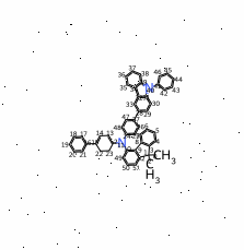 CC1(C)c2ccccc2-c2c(N(C3=CC=C(c4ccccc4)CC3)c3ccc(-c4ccc5c(c4)c4ccccc4n5-c4ccccc4)cc3)cccc21